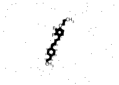 CCCOc1ccc(CC/C=C/C2CCC(CCC)CC2)c(F)c1F